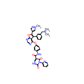 CN(C)Cc1cccc(-c2c(-c3cnn(C)c3)oc3ncnc(Oc4ccc(NC(=O)c5c[nH]c(=O)n(-c6ccccn6)c5=O)cc4)c23)c1